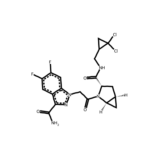 NC(=O)c1nn(CC(=O)N2[C@@H]3C[C@@H]3C[C@H]2C(=O)NCC2CC2(Cl)Cl)c2cc(F)c(F)cc12